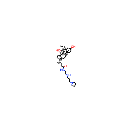 CC[C@H]1[C@@H](O)[C@@H]2[C@H](CC[C@]3(C)[C@@H]([C@H](C)CCC(=O)NCCNCCCN4CCCC4)CC[C@@H]23)[C@@]2(C)CC[C@@H](O)C[C@@H]12